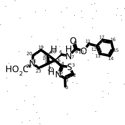 Cc1csc([C@@]2(CNC(=O)OCc3ccccc3)[C@@H]3CCN(C(=O)O)C[C@@H]32)n1